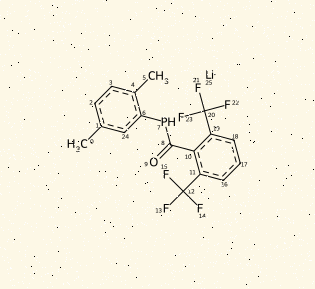 Cc1ccc(C)c(PC(=O)c2c(C(F)(F)F)cccc2C(F)(F)F)c1.[Li]